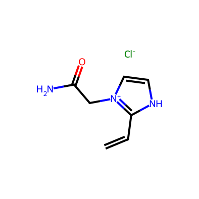 C=Cc1[nH]cc[n+]1CC(N)=O.[Cl-]